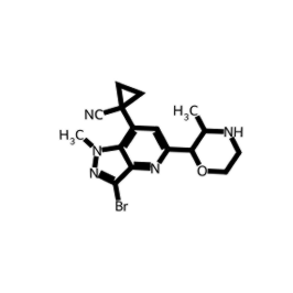 CC1NCCOC1c1cc(C2(C#N)CC2)c2c(n1)c(Br)nn2C